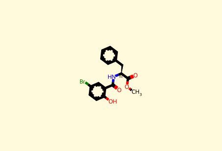 COC(=O)[C@H](Cc1ccccc1)NC(=O)c1cc(Br)ccc1O